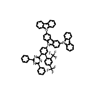 FC(F)(F)c1ccc(-c2cc(-n3c4ccc(-n5c6ccccc6c6ccccc65)cc4c4cc(-n5c6ccccc6c6ccccc65)ccc43)ccc2-c2nc(-c3ccccc3)nc(-c3ccccc3)n2)c(C(F)(F)F)c1